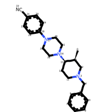 C[C@H]1CN(Cc2ccccc2)CC[C@H]1N1CCN(c2ccc(C#N)cc2)CC1